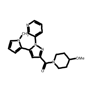 COC1CCN(C(=O)c2cc(-c3cccn3C)n(-c3cccnc3)n2)CC1